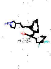 O=C(O)[C@](O)(c1ccccc1CC[C@H]1CCNC1)[C@@H]1CCC(F)(F)C1